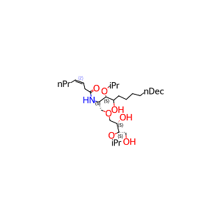 CCC/C=C\CC(=O)N[C@@H](COC[C@H](O)[C@H](CO)OC(C)C)[C@H](OC(C)C)C(O)CCCCCCCCCCCCCC